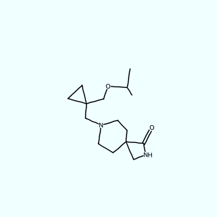 CC(C)OCC1(CN2CCC3(CC2)CNC3=O)CC1